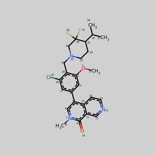 COc1cc(-c2cn(C)c(=O)c3cnccc23)cc(Cl)c1CN1CCC(C(C)C)C(F)(F)C1